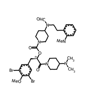 CNc1ccccc1CCN(C=O)C1CCN(C(=O)O[C@H](Cc2cc(Br)c(OC)c(Br)c2)C(=O)N2CCC(N(C)C)CC2)CC1